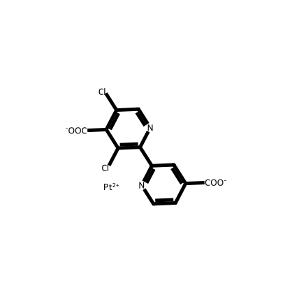 O=C([O-])c1ccnc(-c2ncc(Cl)c(C(=O)[O-])c2Cl)c1.[Pt+2]